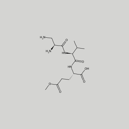 COC(=O)CC[C@H](NC(=O)[C@@H](NC(=O)[C@@H](N)CN)C(C)C)C(=O)O